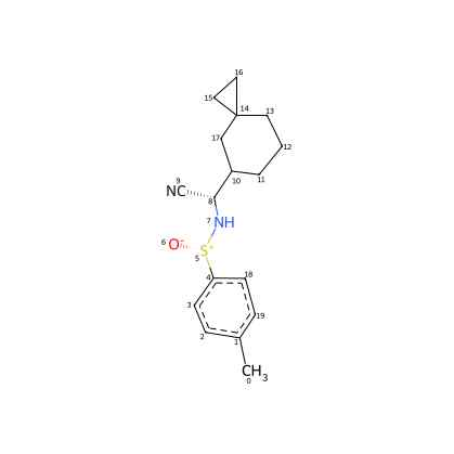 Cc1ccc([S@+]([O-])N[C@H](C#N)C2CCCC3(CC3)C2)cc1